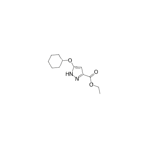 CCOC(=O)c1cc(OC2CCCCC2)[nH]n1